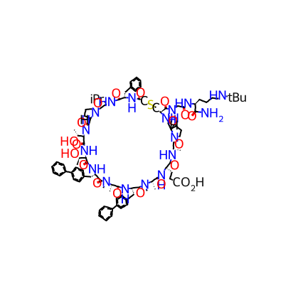 CC(C)[C@@H]1NC(=O)[C@H](Cc2ccccc2)NC(=O)CSC[C@@H](C(=O)NCC(=O)N[C@@H](CCCCNC(C)(C)C)C(N)=O)NC(=O)[C@@H]2CCCN2C(=O)[C@H](C)NC(=O)[C@H](CCC(=O)O)NC(=O)[C@H](C)N(C)C(=O)[C@H](Cc2ccc(-c3ccccc3)cc2)NC(=O)[C@H](C)N(C)C(=O)[C@H](Cc2ccc(-c3ccccc3)cc2)NC(=O)[C@H]([C@@H](C)O)NC(=O)[C@H]([C@@H](C)O)NC(=O)[C@@H]2CCCN2C1=O